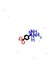 COC(=O)c1ccc(/C(=N/N)NN)cc1